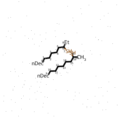 CCCCCCCCCCCCCCCC(S)CC.CCCCCCCCCCCCCCCCC(C)S